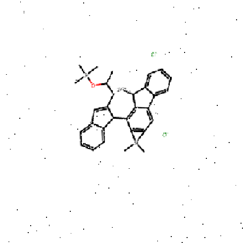 CC(CC1=Cc2ccccc2C1c1c2c(cc3c1[Si]3(C)C)-c1ccccc1[CH]2[Zr+2])O[Si](C)(C)C.[Cl-].[Cl-]